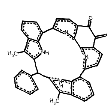 Cc1c2[nH]c3c(cccc13)-c1ccc3c(n1)-c1nc(ccc1C(=O)C3=O)-c1cccc3c(C)c([nH]c13)C2c1ccccc1